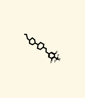 CCCC1CCC(C2CCC(CCc3cc(F)c(C(F)(F)F)c(F)c3)CC2)CC1